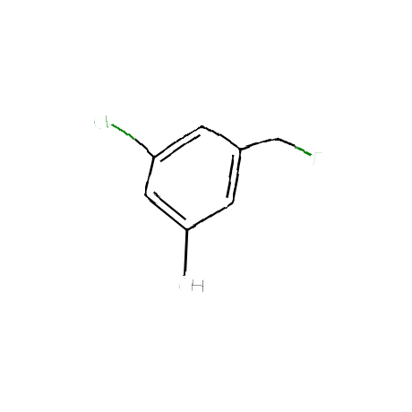 Cc1cc(Cl)cc(CF)c1